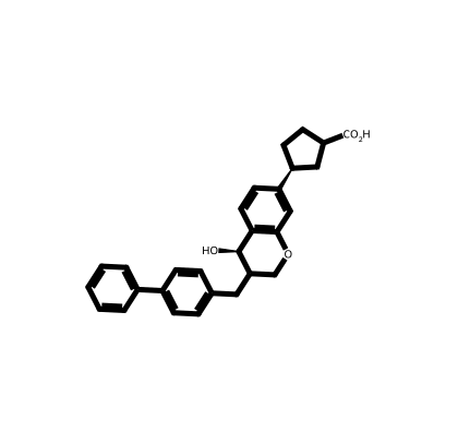 O=C(O)C1CC[C@H](c2ccc3c(c2)OCC(Cc2ccc(-c4ccccc4)cc2)[C@H]3O)C1